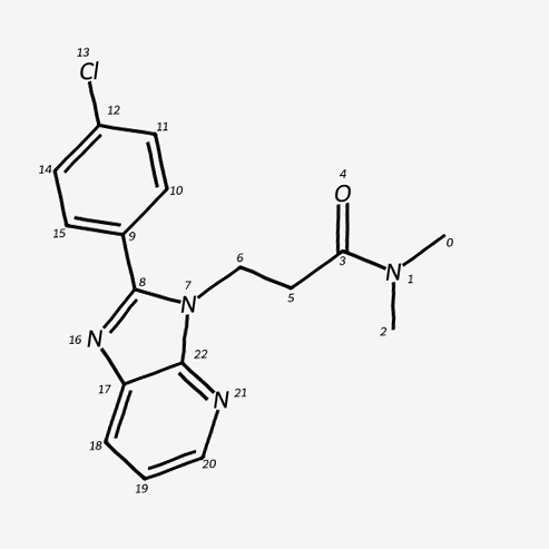 CN(C)C(=O)CCn1c(-c2ccc(Cl)cc2)nc2cccnc21